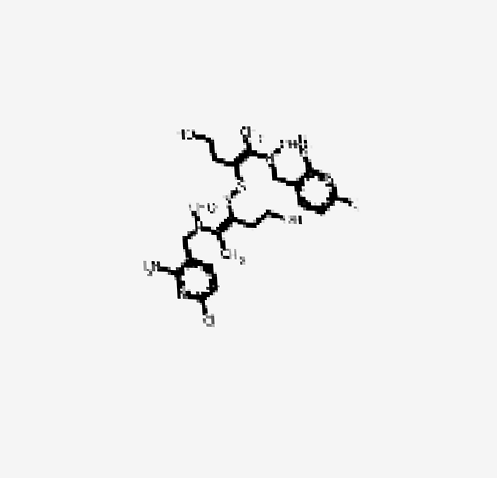 C/C(=C(\CCO)SS/C(CCO)=C(/C)N(C=O)Cc1ccc(Cl)nc1N)N(C=O)Cc1ccc(Cl)nc1N